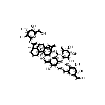 C=C1C[C@@]23CCC4[C@](C)(C(=O)O[C@@H]5OC(CO)[C@@H](O)[C@@H](O)C5O)CCC[C@@]4(C)[C@@H]2CC[C@]1(OC[C@@H]1OC(CO)[C@@H](O)[C@@H](COC[C@@H]2OC(CO)[C@@H](O)[C@@H](O)C2O)C1O[C@@H]1OC(C)[C@H](O)[C@H](O)C1O)C3